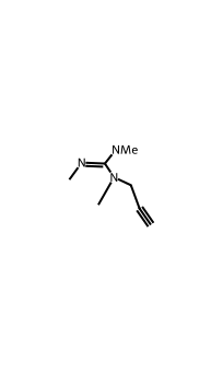 C#CCN(C)C(=NC)NC